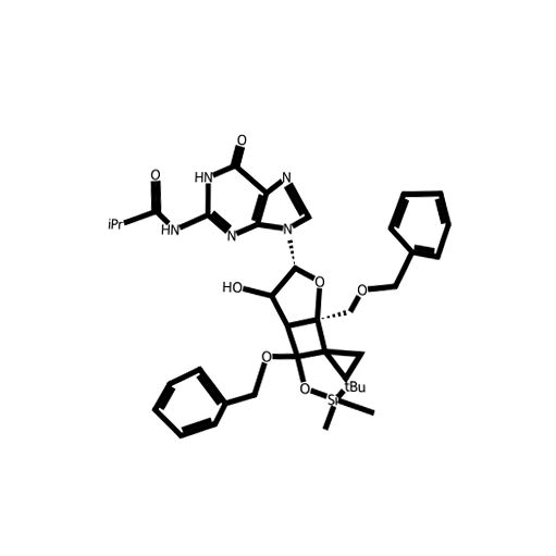 CC(C)C(=O)Nc1nc2c(ncn2[C@@H]2O[C@]3(COCc4ccccc4)C(C2O)C(OCc2ccccc2)(O[Si](C)(C)C(C)(C)C)C32CC2)c(=O)[nH]1